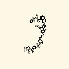 Cc1cc(OCCCC2CCN(CC(=O)Nc3ccc4c(C5CCC(=O)NC5=O)nn(C)c4c3)C(C)C2)ccc1-c1ccc(N2CCc3cccc(C(=O)Nc4nc5ccccc5s4)c3C2)nc1C(=O)O